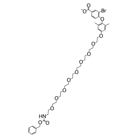 COC(=O)c1ccc(Oc2c(C)cc(OCCOCCOCCOCCOCCOCCOCCOCCOCCNC(=O)OCc3ccccc3)cc2C)c(Br)c1